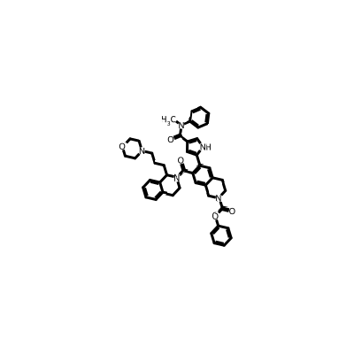 CN(C(=O)c1c[nH]c(-c2cc3c(cc2C(=O)N2CCc4ccccc4C2CCCN2CCOCC2)CN(C(=O)Oc2ccccc2)CC3)c1)c1ccccc1